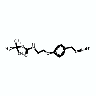 CC(C)(C)OC(=O)NCCOc1ccc(CN=[N+]=[N-])cc1